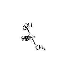 CCCCCCCCCCCCCCCCCC(=O)O.[OH-].[OH-].[Zn+2]